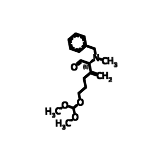 C=C(CCCOC(OC)OC)[C@@H](C=O)N(C)Cc1ccccc1